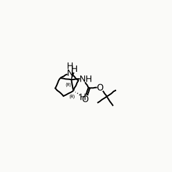 CC(C)(C)OC(=O)N[C@H]1C2CC[C@@H]1CN2